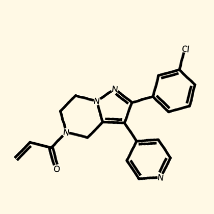 C=CC(=O)N1CCn2nc(-c3cccc(Cl)c3)c(-c3ccncc3)c2C1